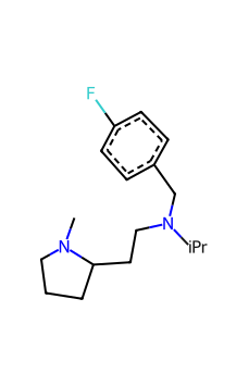 CC(C)N(CCC1CCCN1C)Cc1ccc(F)cc1